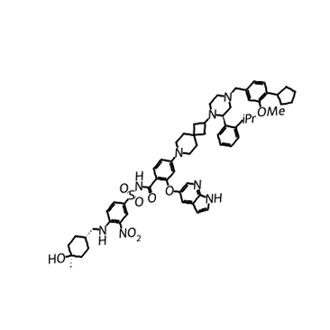 COc1cc(CN2CCN(C3CC4(CCN(c5ccc(C(=O)NS(=O)(=O)c6ccc(NC[C@H]7CC[C@](C)(O)CC7)c([N+](=O)[O-])c6)c(Oc6cnc7[nH]ccc7c6)c5)CC4)C3)[C@H](c3ccccc3C(C)C)C2)ccc1C1CCCC1